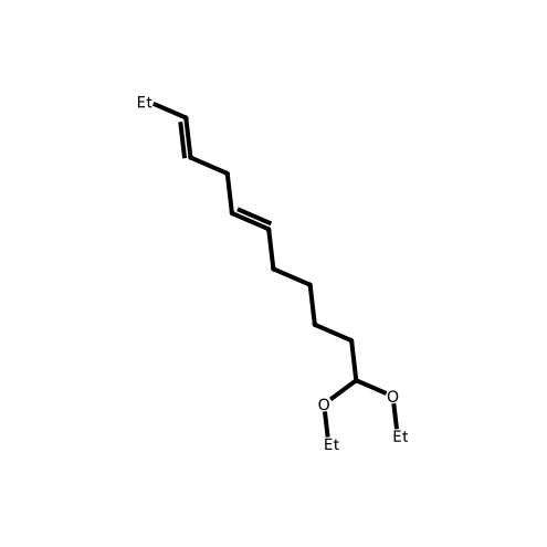 CCC=CCC=CCCCCC(OCC)OCC